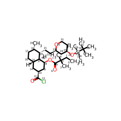 CCC(C)(C)C(=O)O[C@H]1C[C@@H](C(=O)Cl)C[C@@H]2CC[C@H](C)[C@H](CC[C@@H]3C[C@H](O[Si](C)(C)C(C)(C)C)CCO3)[C@H]21